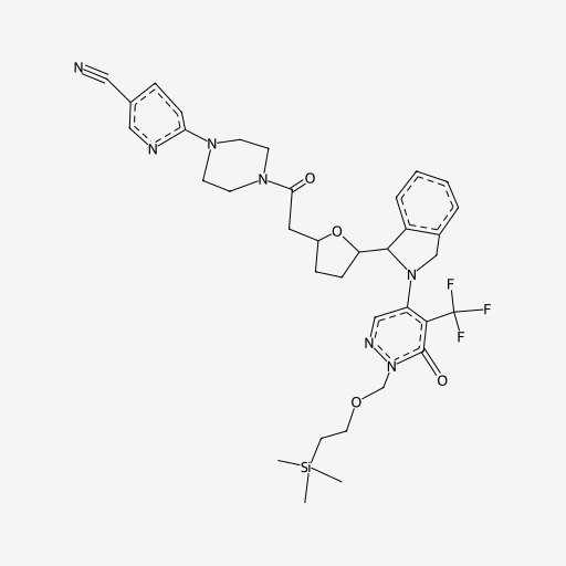 C[Si](C)(C)CCOCn1ncc(N2Cc3ccccc3C2C2CCC(CC(=O)N3CCN(c4ccc(C#N)cn4)CC3)O2)c(C(F)(F)F)c1=O